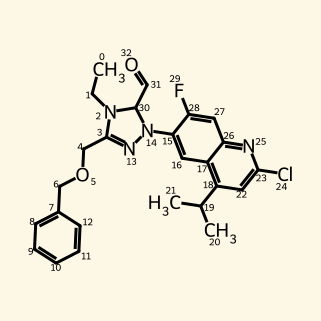 CCN1C(COCc2ccccc2)=NN(c2cc3c(C(C)C)cc(Cl)nc3cc2F)C1C=O